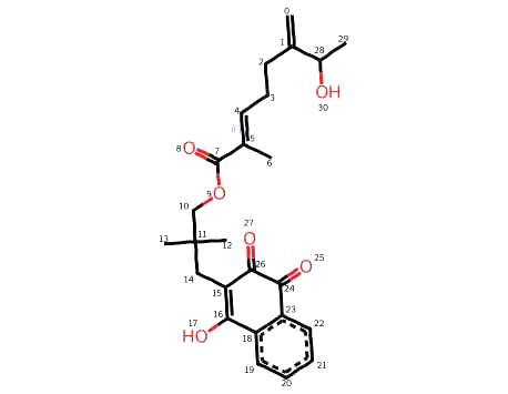 C=C(CC/C=C(\C)C(=O)OCC(C)(C)CC1=C(O)c2ccccc2C(=O)C1=O)C(C)O